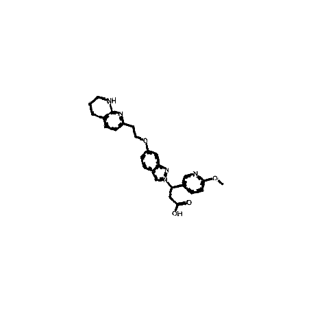 COc1ccc(C(CC(=O)O)n2cc3ccc(OCCc4ccc5c(n4)NCCC5)cc3n2)cn1